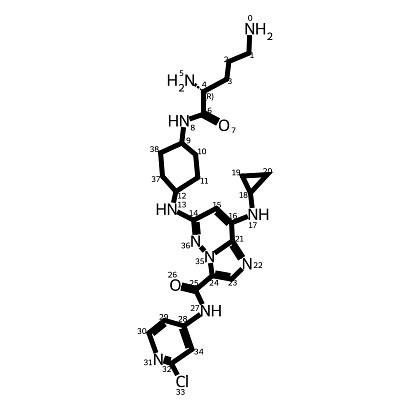 NCCC[C@@H](N)C(=O)NC1CCC(Nc2cc(NC3CC3)c3ncc(C(=O)Nc4ccnc(Cl)c4)n3n2)CC1